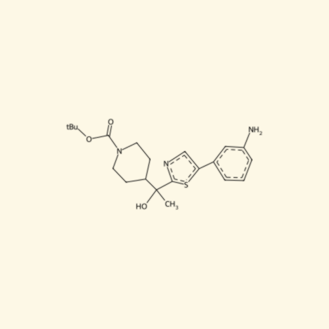 CC(C)(C)OC(=O)N1CCC(C(C)(O)c2ncc(-c3cccc(N)c3)s2)CC1